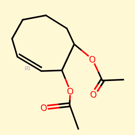 CC(=O)OC1/C=C\CCCCC1OC(C)=O